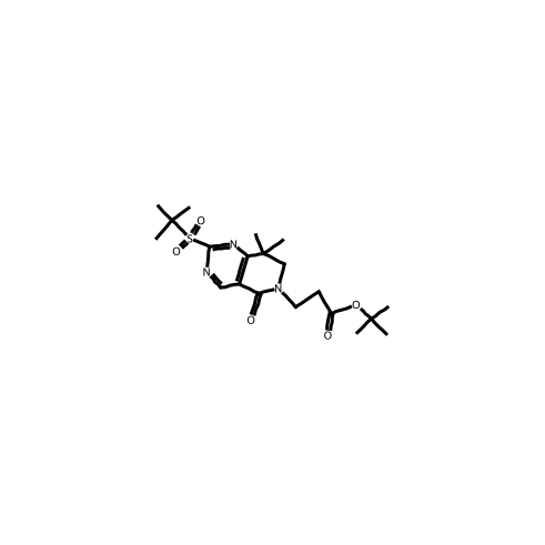 CC(C)(C)OC(=O)CCN1CC(C)(C)c2nc(S(=O)(=O)C(C)(C)C)ncc2C1=O